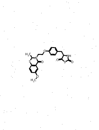 COc1ccc2c(c1)C(=O)N(CCOc1ccc(CC3NC(=O)SC3=O)cc1)C(C)S2